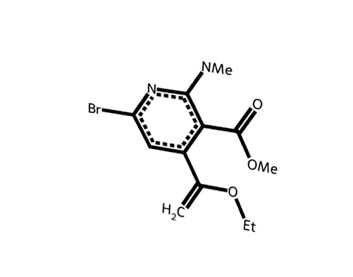 C=C(OCC)c1cc(Br)nc(NC)c1C(=O)OC